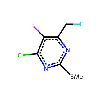 CSc1nc(Cl)c(I)c(CF)n1